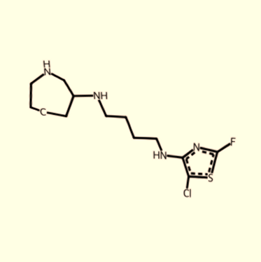 Fc1nc(NCCCCNC2CCCCNC2)c(Cl)s1